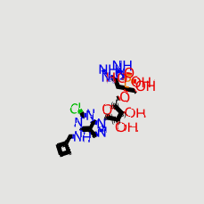 N=N/C(CC(CO)(OC[C@H]1O[C@@H](n2ncc3c(NCC4CCC4)nc(Cl)nc32)[C@H](O)[C@@H]1O)P(=O)(O)O)=N\N